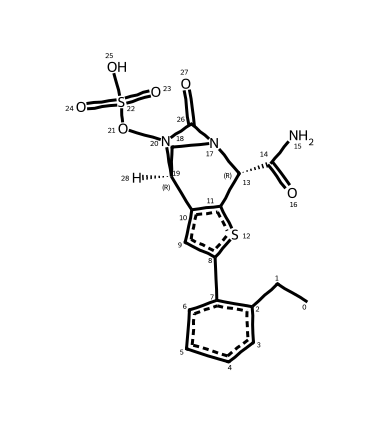 CCc1ccccc1-c1cc2c(s1)[C@@H](C(N)=O)N1C[C@@H]2N(OS(=O)(=O)O)C1=O